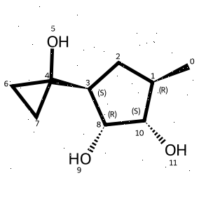 C[C@@H]1C[C@H](C2(O)CC2)[C@@H](O)[C@H]1O